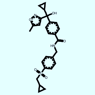 Cc1cc(C(O)(c2ccc(C(=O)NCc3ccc(S(=O)(=O)CC4CC4)cc3)cc2)C2CC2)no1